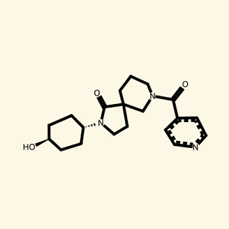 O=C(c1ccncc1)N1CCCC2(CCN([C@H]3CC[C@H](O)CC3)C2=O)C1